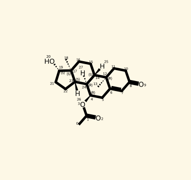 CC(=O)O[C@@H]1CC2=CC(=O)CC[C@]2(C)[C@H]2CC[C@]3(C)[C@@H](O)CC[C@H]3[C@H]12